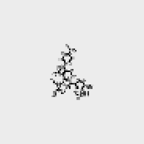 C=CC(=O)N1CCOc2nn(-c3ccc(C(C)C)cc3)c3c2C(C1)N(C(=O)c1ccc(Br)c2[nH]cnc12)CC3